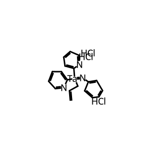 C=C[CH2][Ta](=[N]c1ccccc1)([c]1ccccn1)[c]1ccccn1.Cl.Cl.Cl